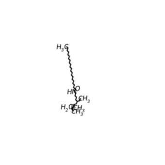 C=P(C)(CC)CCC(CC)CCCCNC(=O)CCCCCCCCCCCCCCCCCCCCC